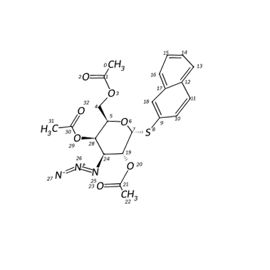 CC(=O)OC[C@H]1O[C@H](Sc2ccc3ccccc3c2)[C@H](OC(C)=O)[C@@H](N=[N+]=[N-])[C@H]1OC(C)=O